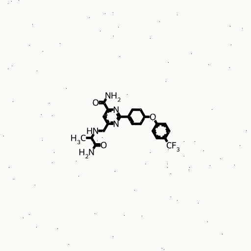 CC(NCc1cc(C(N)=O)nc(C2=CCC(Oc3ccc(C(F)(F)F)cc3)CC2)n1)C(N)=O